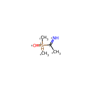 CC(=N)[SH](C)(C)=O